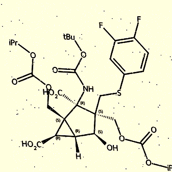 CC(C)OC(=O)OC[C@]1(CSc2ccc(F)c(F)c2)[C@@H](O)[C@@H]2[C@@H](C(=O)O)[C@]2(COC(=O)OC(C)C)[C@]1(NC(=O)OC(C)(C)C)C(=O)O